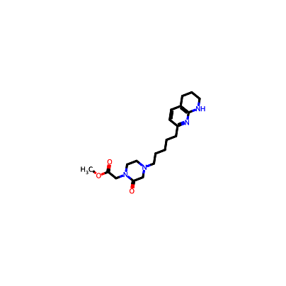 COC(=O)CN1CCN(CCCCCc2ccc3c(n2)NCCC3)CC1=O